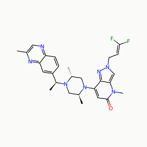 Cc1cnc2ccc([C@H](C)N3C[C@H](C)N(c4cc(=O)n(C)c5cn(CC=C(F)F)nc45)C[C@H]3C)cc2n1